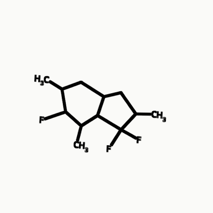 CC1CC2CC(C)C(F)(F)C2C(C)C1F